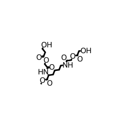 COC(=O)C(CCCCNC(=O)COC(=O)CO)NC(=O)COC(=O)CCO